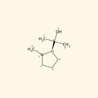 CN1CCC[C@@H]1C(C)(C)O